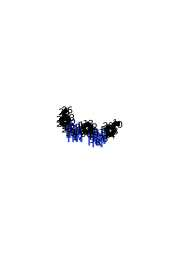 C=Cc1ccc(Cn2nnc(-c3cccc(-c4nnn(Cc5ccc(C=C)cc5)n4)c3)n2)cc1